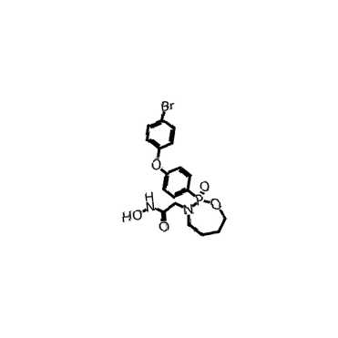 O=C(CN1CCCCOP1(=O)c1ccc(Oc2ccc(Br)cc2)cc1)NO